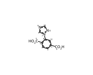 O=C(O)c1ccc(C(=O)O)c(-n2cncn2)c1